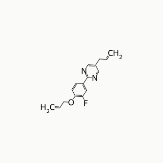 C=CCOc1ccc(-c2ncc(CC=C)cn2)cc1F